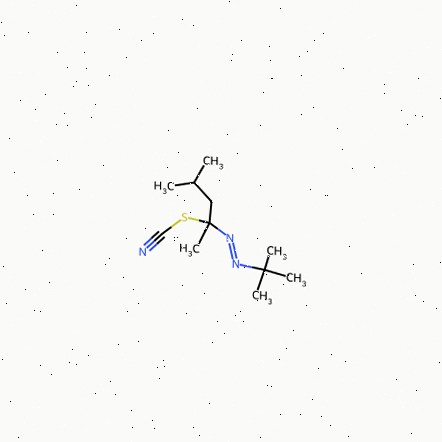 CC(C)CC(C)(/N=N/C(C)(C)C)SC#N